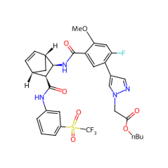 CCCCOC(=O)Cn1cc(-c2cc(C(=O)N[C@H]3[C@@H](C(=O)Nc4cccc(S(=O)(=O)C(F)(F)F)c4)[C@@H]4C=C[C@H]3C4)c(OC)cc2F)cn1